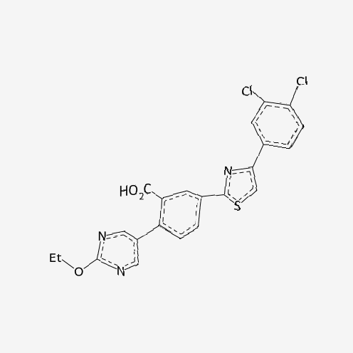 CCOc1ncc(-c2ccc(-c3nc(-c4ccc(Cl)c(Cl)c4)cs3)cc2C(=O)O)cn1